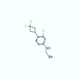 C[C](C)CNc1ccc(C2CC(F)(F)C2)c(F)c1